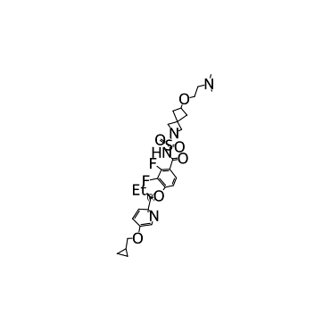 CC[C@@H](Oc1ccc(C(=O)NS(=O)(=O)N2CC3(CC(OCCN(C)C)C3)C2)c(F)c1F)c1ccc(OCC2CC2)cn1